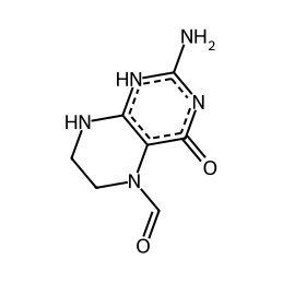 Nc1nc(=O)c2c([nH]1)NCCN2C=O